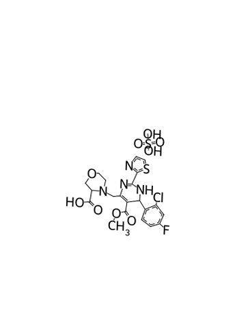 COC(=O)C1=C(CN2CCOCC2C(=O)O)N=C(c2nccs2)NC1c1ccc(F)cc1Cl.O=S(=O)(O)O